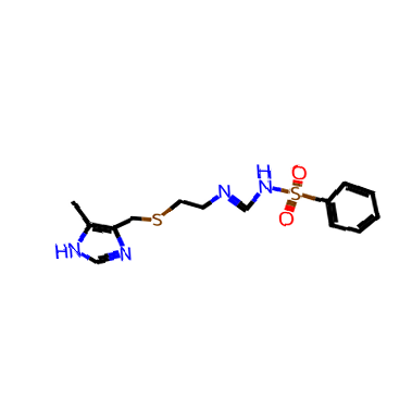 Cc1[nH]cnc1CSCC/N=C/NS(=O)(=O)c1ccccc1